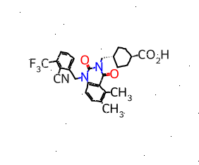 Cc1ccc2c(c1C)c(=O)n(C[C@H]1CC[C@H](C(=O)O)CC1)c(=O)n2Cc1cccc(C(F)(F)F)c1C#N